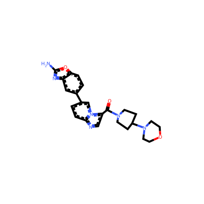 Nc1nc2cc(-c3ccc4ncc(C(=O)N5CCC(N6CCOCC6)CC5)n4c3)ccc2o1